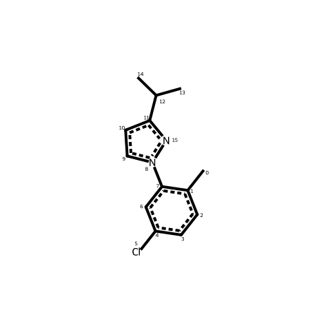 Cc1ccc(Cl)cc1-n1ccc(C(C)C)n1